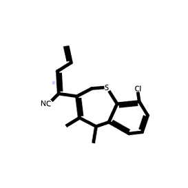 C=C/C=C(/C#N)C1=C(C)C(C)c2cccc(Cl)c2SC1